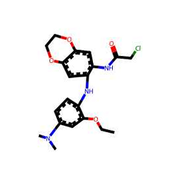 CCOc1cc(N(C)C)ccc1Nc1cc2c(cc1NC(=O)CCl)OCCO2